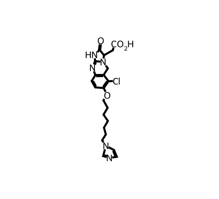 O=C(O)CC1C(=O)NC2=Nc3ccc(OCCCCCCCn4ccnc4)c(Cl)c3CN21